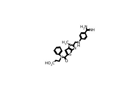 Cn1c(CNc2ccc(C(=N)N)cc2)nc2sc(C(=O)N(CCC(=O)O)c3ccccc3)cc21